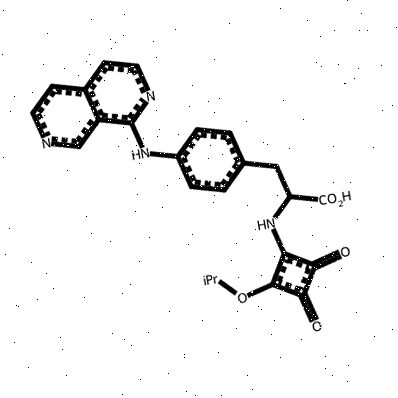 CC(C)Oc1c(NC(Cc2ccc(Nc3nccc4ccncc34)cc2)C(=O)O)c(=O)c1=O